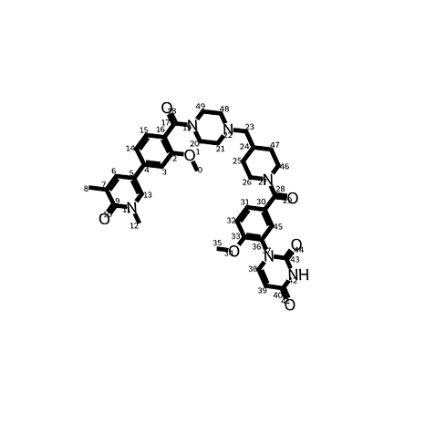 COc1cc(-c2cc(C)c(=O)n(C)c2)ccc1C(=O)N1CCN(CC2CCN(C(=O)c3ccc(OC)c(-n4ccc(=O)[nH]c4=O)c3)CC2)CC1